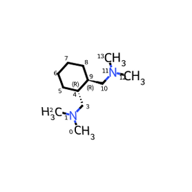 CN(C)C[C@@H]1CCCC[C@H]1CN(C)C